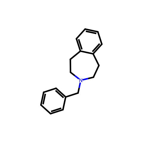 c1ccc(CN2CCc3ccccc3CC2)cc1